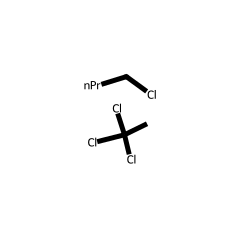 CC(Cl)(Cl)Cl.CCCCCl